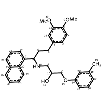 COc1ccc(CCC(NCC(O)COc2cccc(C)c2)c2cccc3ccccc23)cc1OC